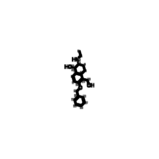 CCN[C@@H]1CCc2c(ccc(OCc3ccccc3)c2CO)[C@H]1O